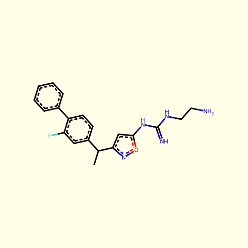 CC(c1ccc(-c2ccccc2)c(F)c1)c1cc(NC(=N)NCCN)on1